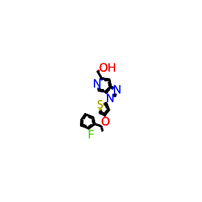 CC(Oc1csc(-n2cnc3cc(CO)ncc32)c1)c1ccccc1F